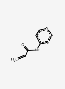 C=CC(=O)Nc1ccnnn1